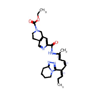 CC/C=C(/C=C\C=C(/C)NC(=O)c1cc2c(cn1)CCN(C(=O)OCC)C2)c1nnc2n1CCCC2